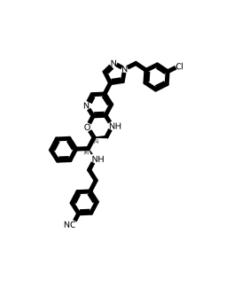 N#Cc1ccc(CCN[C@H](c2ccccc2)[C@@H]2CNc3cc(-c4cnn(Cc5cccc(Cl)c5)c4)cnc3O2)cc1